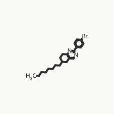 CCCCCCCCC1CCc2nc(-c3ccc(Br)cc3)ncc2C1